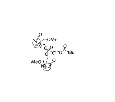 COC[C@@]1(COP(=O)(OCOC(=O)C(C)(C)C)OC[C@]2(COC)C(=O)C3CCN2CC3)C(=O)C2CCN1CC2